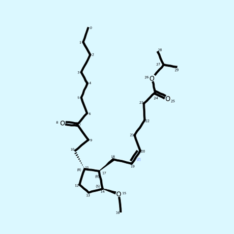 CCCCCCCC(=O)CC[C@H]1CC[C@H](OC)[C@@H]1C/C=C\CCCC(=O)OC(C)C